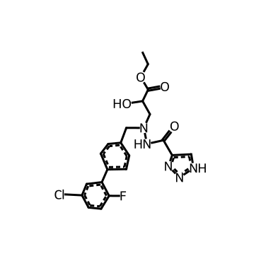 CCOC(=O)C(O)CN(Cc1ccc(-c2cc(Cl)ccc2F)cc1)NC(=O)c1c[nH]nn1